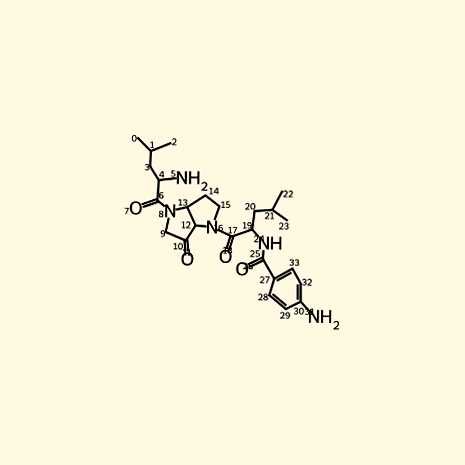 CC(C)CC(N)C(=O)N1CC(=O)C2C1CCN2C(=O)C(CC(C)C)NC(=O)c1ccc(N)cc1